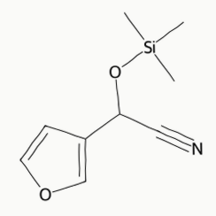 C[Si](C)(C)OC(C#N)c1ccoc1